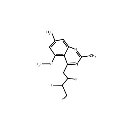 COc1cc(C)cc2nc(C)nc(CC(F)C(F)CF)c12